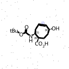 CC(C)(C)OC(=O)N[C@H]1C/C=C\[C@H](O)CC[C@H]1C(=O)O